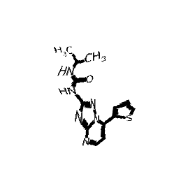 CC(C)NC(=O)Nc1nc2nccc(-c3cccs3)n2n1